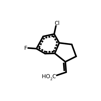 O=C(O)/C=C1/CCc2c(Cl)cc(F)cc21